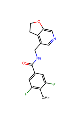 COc1c(F)cc(C(=O)NCc2cncc3c2CCO3)cc1F